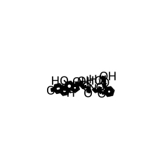 C[C@]12C=CC(=O)C=C1CC[C@H]1C3CCC(O)(C(=O)COC(=O)NCC(=O)Oc4ccccc4CON(O)O)[C@@]3(C)C[C@H](O)C12F